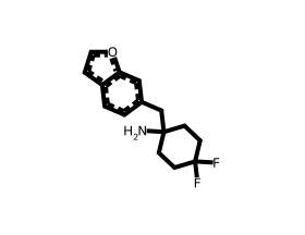 NC1(Cc2ccc3ccoc3c2)CCC(F)(F)CC1